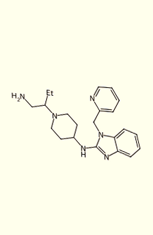 CCC(CN)N1CCC(Nc2nc3ccccc3n2Cc2ccccn2)CC1